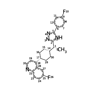 C[C@@H](c1nnc(-c2ccc(F)cc2)[nH]1)[C@H]1CC[C@@H](c2ccnc3ccc(F)cc32)CC1